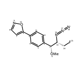 CO[C@H](c1ccc(-c2ccno2)cc1)[C@@H](CF)N=[N+]=[N-]